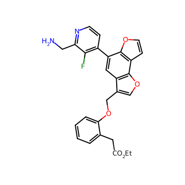 CCOC(=O)Cc1ccccc1OCc1coc2c1cc(-c1ccnc(CN)c1F)c1occc12